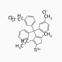 CC1=C(C(c2cccc(C)c2)(c2cccc(C)c2)c2cccc(C)c2)C(C)=[C]([Ti+3])C1.[Cl-].[Cl-].[Cl-]